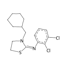 Clc1cccc(N=C2SCCN2CC2CCCCC2)c1Cl